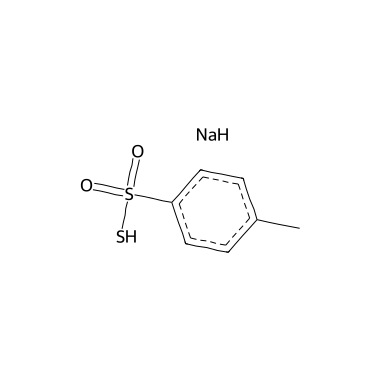 Cc1ccc(S(=O)(=O)S)cc1.[NaH]